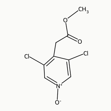 COC(=O)Cc1c(Cl)c[n+]([O-])cc1Cl